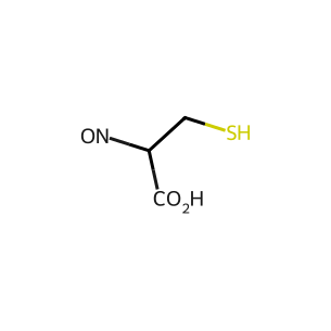 O=NC(CS)C(=O)O